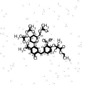 CCOC(=O)C(C)(C)Oc1ccc(Cc2cc([C@@H]3O[C@H](COC(C)=O)[C@@H](OC(C)=O)[C@H](OC(C)=O)[C@H]3OC(C)=O)ccc2Cl)cc1[N+](=O)[O-]